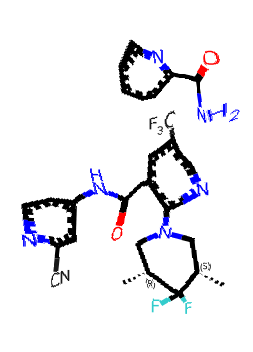 C[C@@H]1CN(c2ncc(C(F)(F)F)cc2C(=O)Nc2ccnc(C#N)c2)C[C@H](C)C1(F)F.NC(=O)c1ccccn1